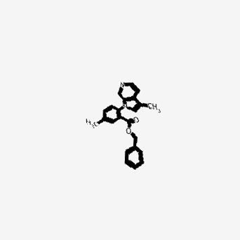 Cc1ccc(-n2cc(C)c3ccncc32)c(C(=O)OCc2ccccc2)c1